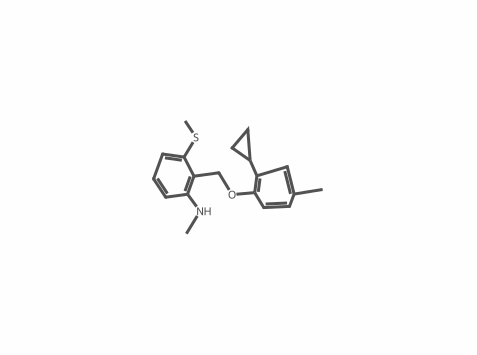 CNc1cccc(SC)c1COc1ccc(C)cc1C1CC1